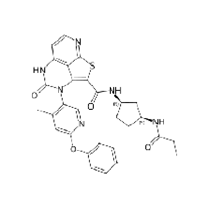 CCC(=O)N[C@H]1CC[C@@H](NC(=O)c2sc3nccc4c3c2N(c2cnc(Oc3ccccc3)cc2C)C(=O)N4)C1